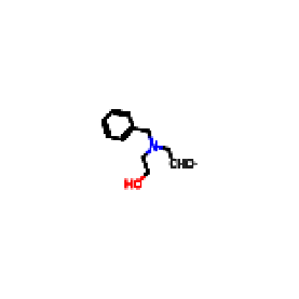 O=[C]CN(CCO)Cc1ccccc1